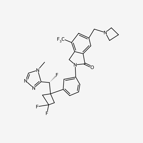 Cn1cnnc1[C@H](F)C1(c2cccc(N3Cc4c(cc(CN5CCC5)cc4C(F)(F)F)C3=O)c2)CC(F)(F)C1